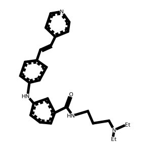 CCN(CC)CCCNC(=O)c1cccc(Nc2ccc(C=Cc3ccncc3)cc2)c1